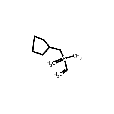 C=CP(=C)(C)CC1CCCC1